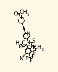 CC(=O)N1CCC(C#Cc2ccc(N(C(=S)N(C)c3ccc(C#N)c(C(F)(F)F)c3F)C(C)(C)C=O)cn2)CC1